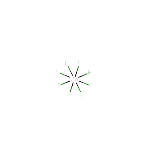 [F][Zn]([F])([F])([F])([F])([F])([F])[F]